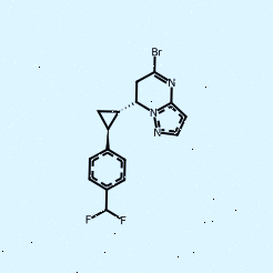 FC(F)c1ccc([C@H]2C[C@@H]2C2CC(Br)=Nc3ccnn32)cc1